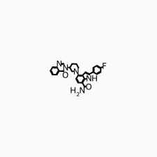 NC(=O)c1ccc(N2CCCC(n3cnc4ccccc4c3=O)C2)c2cc(-c3ccc(F)cc3)[nH]c12